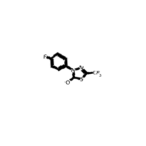 [O]C1SC(C(F)(F)F)=NN1c1ccc(F)cc1